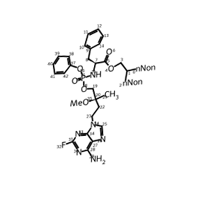 CCCCCCCCCC(CCCCCCCCC)COC(=O)[C@H](Cc1ccccc1)NP(=O)(OC[C@](C)(CCn1cnc2c(N)nc(F)nc21)OC)Oc1ccccc1